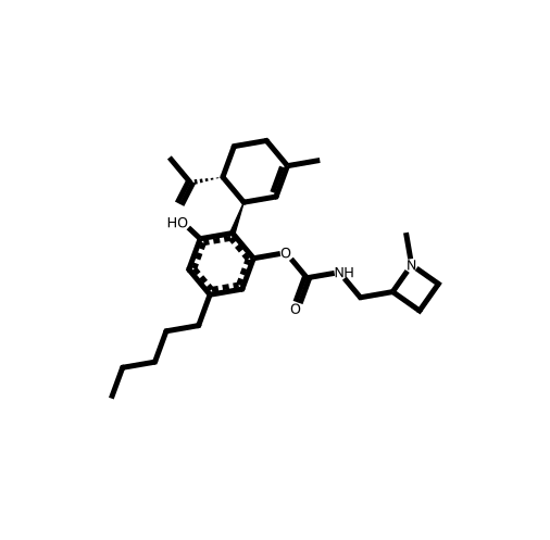 C=C(C)[C@@H]1CCC(C)=C[C@H]1c1c(O)cc(CCCCC)cc1OC(=O)NCC1CCN1C